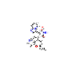 CC1=CC=C2C(C3=C(c4cnc5ccccn45)C(=O)NC3=O)=CC3=NCCC(=C23)O1